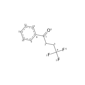 O=C(CCC(F)(F)F)c1ccccc1